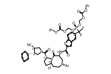 CC(=O)N1CC[C@H]2CC[C@@H](C(=O)N3C[C@H](c4ccccc4)[C@@H](C#N)C3)N2C(=O)C(NC(=O)c2cc3cc(C(F)(F)P(=O)(OCOC(=O)OC(C)C)OCOC(=O)OC(C)C)ccc3s2)C1